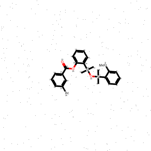 COc1ccccc1[Si](C)(C)O[Si](C)(C)c1ccccc1OC(=O)c1cccc(C(C)=O)c1